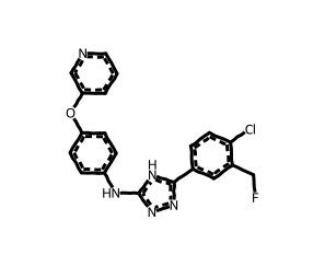 FCc1cc(-c2nnc(Nc3ccc(Oc4cccnc4)cc3)[nH]2)ccc1Cl